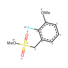 COc1cccc(CS(=O)(=O)OC)c1F